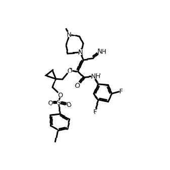 Cc1ccc(S(=O)(=O)OCC2(CO/C(C(=O)Nc3cc(F)cc(F)c3)=C(/C=N)N3CCN(C)CC3)CC2)cc1